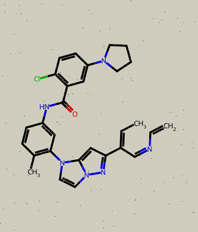 C=C/N=C\C(=C/C)c1cc2n(-c3cc(NC(=O)c4cc(N5CCCC5)ccc4Cl)ccc3C)ccn2n1